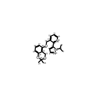 CC(C)n1nccc1-c1ncccc1COc1cccc2c1COC(C)(C)O2